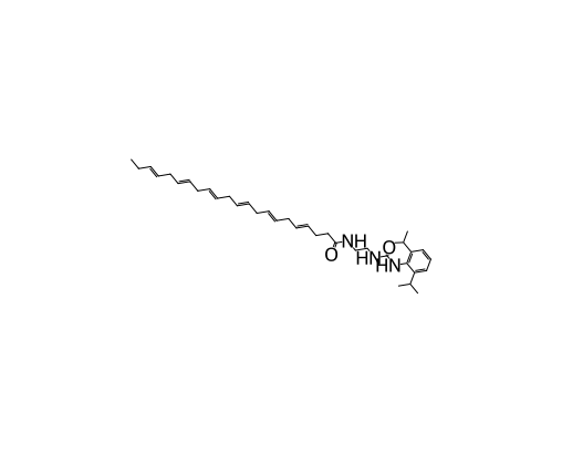 CCC=CCC=CCC=CCC=CCC=CCC=CCCC(=O)NCCNC(=O)Nc1c(C(C)C)cccc1C(C)C